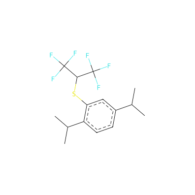 CC(C)c1ccc(C(C)C)c(SC(C(F)(F)F)C(F)(F)F)c1